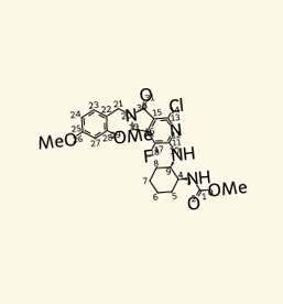 COC(=O)N[C@H]1CCCC[C@H]1Nc1nc(Cl)c2c(c1F)CN(Cc1ccc(OC)cc1OC)C2=O